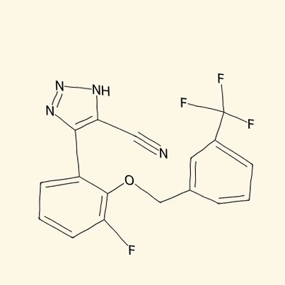 N#Cc1[nH]nnc1-c1cccc(F)c1OCc1cccc(C(F)(F)F)c1